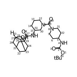 CC(C)(C)OC(=O)NC1CCN(C(=O)N2CCC[C@H](NC(=O)C34CC5CC(C3)C(O)[C@H](C5)C4)C2)CC1